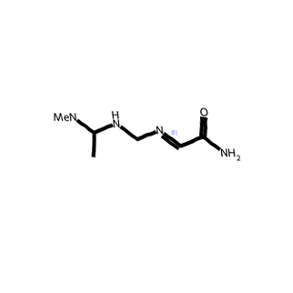 CNC(C)NC/N=C/C(N)=O